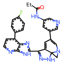 CCC(=O)Nc1cncc(C2=CN3CC34NN=C(c3nc5c(-c6ccc(F)cc6)ccnc5[nH]3)C4=C2)c1